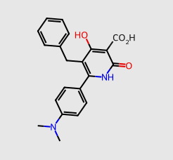 CN(C)c1ccc(-c2[nH]c(=O)c(C(=O)O)c(O)c2Cc2ccccc2)cc1